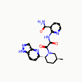 C[C@H]1CC[C@H](c2ccc3[nH]ncc3n2)N(C(=O)C(=O)Nc2ncccc2C(N)=O)C1